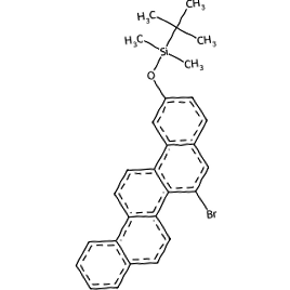 CC(C)(C)[Si](C)(C)Oc1ccc2cc(Br)c3c(ccc4c5ccccc5ccc43)c2c1